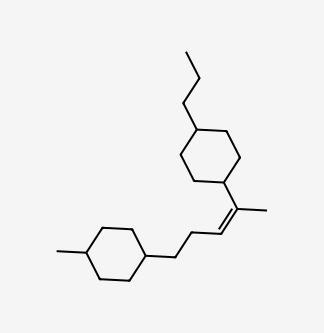 CCCC1CCC(/C(C)=C\CCC2CCC(C)CC2)CC1